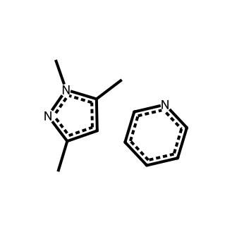 Cc1cc(C)n(C)n1.c1ccncc1